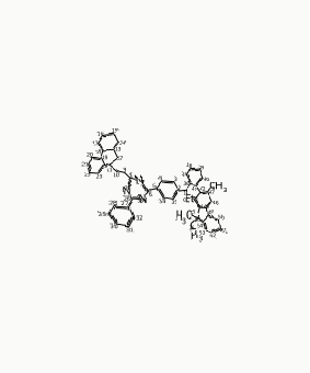 CCC(c1ccc(-c2nc(CCC3Cc4ccccc4-c4ccccc43)nc(-c3ccccc3)n2)cc1)c1ccccc1-c1cc2c(cc1C)-c1ccccc1C2(C)C